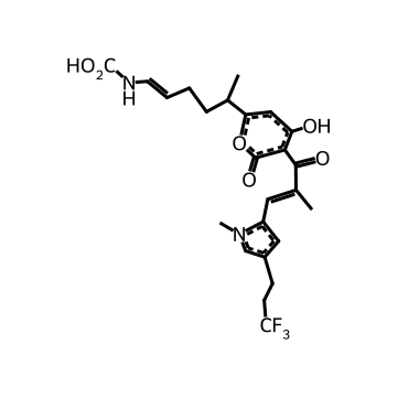 CC(=Cc1cc(CCC(F)(F)F)cn1C)C(=O)c1c(O)cc(C(C)CCC=CNC(=O)O)oc1=O